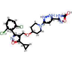 O=c1[nH]c(-c2cc(N3CCC(OCc4c(-c5c(Cl)cccc5Cl)noc4C4CC4)CC3)n[nH]2)no1